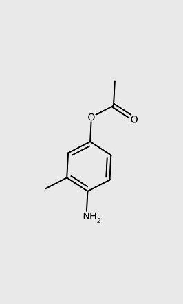 CC(=O)Oc1ccc(N)c(C)c1